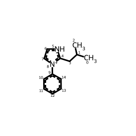 CC(C)Cc1[nH]cc[n+]1-c1ccccc1